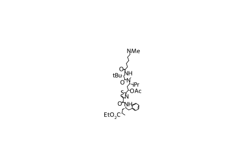 CCOC(=O)[C@@H](C)C[C@H](Cc1ccccc1)NC(=O)c1csc([C@@H](C[C@H](C(C)C)N(C)C(=O)[C@@H](NC(=O)CCCCCNC)C(C)(C)C)OC(C)=O)n1